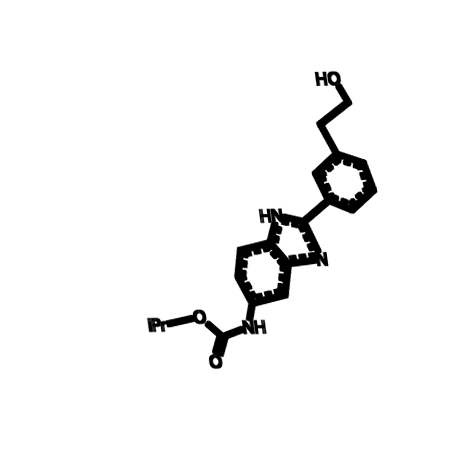 CC(C)OC(=O)Nc1ccc2[nH]c(-c3cccc(CCO)c3)nc2c1